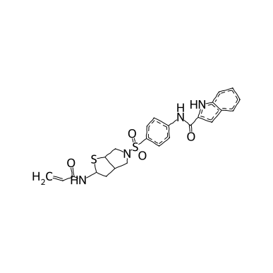 C=CC(=O)NC1CC2CN(S(=O)(=O)c3ccc(NC(=O)c4cc5ccccc5[nH]4)cc3)CC2S1